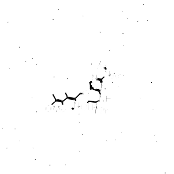 C=N/C(COc1cnc(N(C(C)=O)C(C)=O)nc1N[C@H](CO)CCC)=C(/C)C(OC)=C(C)C